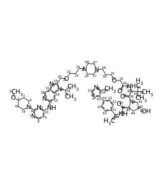 COC1CCN(c2nccc(Nc3cc4c(cn3)nc(COCCCN3CCN(CCCOCC(=O)N[C@H](C(=O)N5C[C@H](O)C[C@H]5C(=O)N[C@@H](C)c5ccc(-c6scnc6C)cc5)C(C)(C)C)CC3)n4C(C)C)n2)CC1